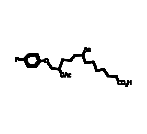 CC(=O)OC(CCCC(CCCCCCC(=O)O)C(C)=O)COc1ccc(F)cc1